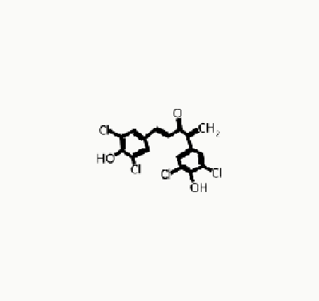 C=C(C(=O)C=Cc1cc(Cl)c(O)c(Cl)c1)c1cc(Cl)c(O)c(Cl)c1